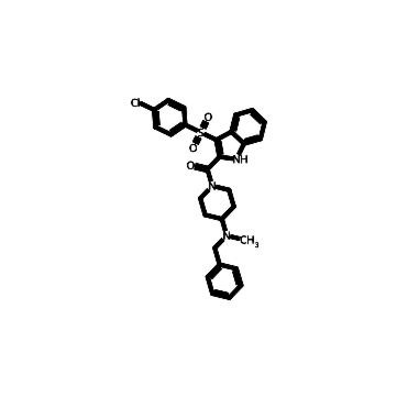 CN(Cc1ccccc1)C1CCN(C(=O)c2[nH]c3ccccc3c2S(=O)(=O)c2ccc(Cl)cc2)CC1